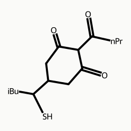 CCCC(=O)C1C(=O)CC(C(S)C(C)CC)CC1=O